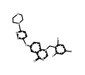 O=c1ncn(Cc2c(F)cc(F)cc2F)c2ccc(Oc3ccc(N4CCOCC4)nn3)cc12